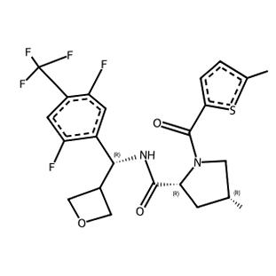 Cc1ccc(C(=O)N2C[C@H](C)C[C@@H]2C(=O)N[C@@H](c2cc(F)c(C(F)(F)F)cc2F)C2COC2)s1